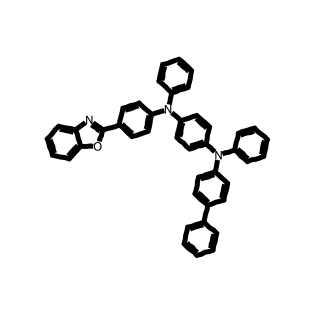 c1ccc(-c2ccc(N(c3ccccc3)c3ccc(N(c4ccccc4)c4ccc(-c5nc6ccccc6o5)cc4)cc3)cc2)cc1